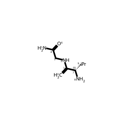 C=C(NCC(N)=O)[C@@H](N)C(C)C